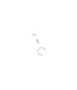 CCc1cc(C#CC(N)=O)cnn1